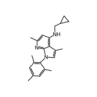 Cc1cc(C)c(-n2cc(C)c3c(NCC4CC4)cc(C)nc32)c(C)c1